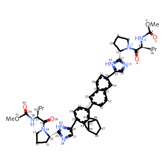 COC(=O)N[C@H](C(=O)N1CCC[C@H]1c1ncc(-c2ccc3cc(-c4ccc(-c5cnc([C@@H]6CCCN6C(=O)[C@@H](NC(=O)OC)C(C)C)[nH]5)c5c4C4CCC5C4)ccc3c2)[nH]1)C(C)C